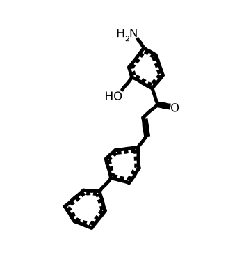 Nc1ccc(C(=O)/C=C/c2ccc(-c3ccccc3)cc2)c(O)c1